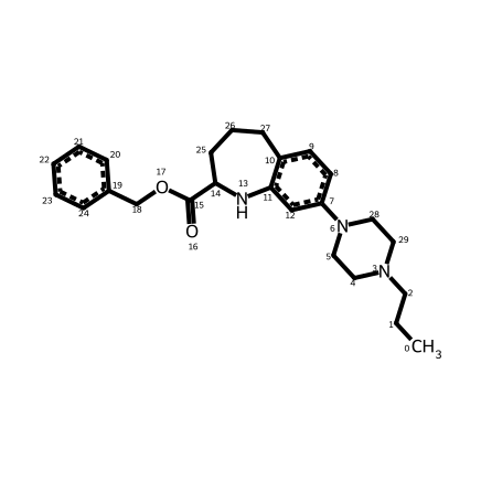 CCCN1CCN(c2ccc3c(c2)NC(C(=O)OCc2ccccc2)CCC3)CC1